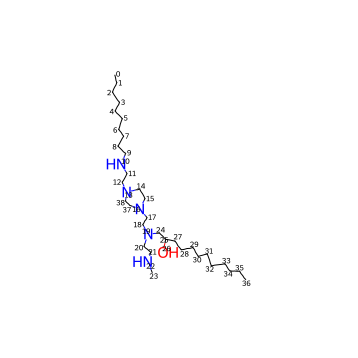 CCCCCCCCCCNCCN1CCN(CCN(CCNC)CC(O)CCCCCCCCCC)CC1